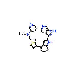 CN(C)c1cncc(-c2cc3c(-c4cc5c(-c6ccsc6)cccc5[nH]4)n[nH]c3cn2)c1